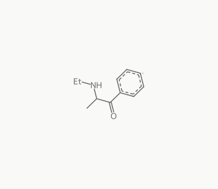 CCNC(C)C(=O)c1cc[c]cc1